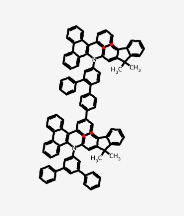 CC1(C)c2ccccc2-c2ccc(N(c3cc(-c4ccccc4)cc(-c4ccccc4)c3)c3c(-c4cccc(-c5ccc(-c6ccc(N(c7ccc8c(c7)C(C)(C)c7ccccc7-8)c7c(-c8ccccc8)c8ccccc8c8ccccc78)cc6-c6ccccc6)cc5)c4)c4ccccc4c4ccccc34)cc21